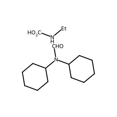 CCNC(=O)O.O=CN(C1CCCCC1)C1CCCCC1